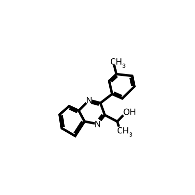 Cc1cccc(-c2nc3ccccc3nc2C(C)O)c1